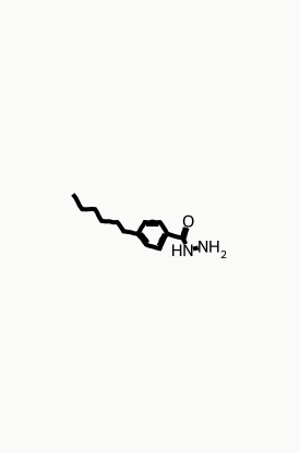 CCCCCCc1ccc(C(=O)NN)cc1